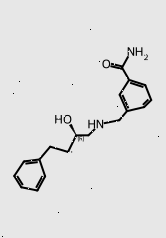 NC(=O)c1cccc(CNC[C@H](O)[CH]Cc2ccccc2)c1